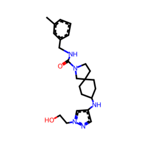 Cc1cccc(CNC(=O)N2CCC3(CCC(Nc4cnn(CCO)c4)CC3)C2)c1